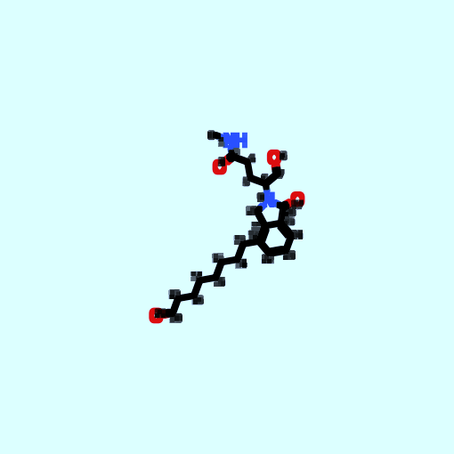 CNC(=O)CCC(C=O)N1Cc2c(CCCCCCCC=O)cccc2C1=O